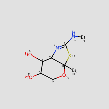 CCNC1=NC2C(O)C(O)COC2(CC)S1